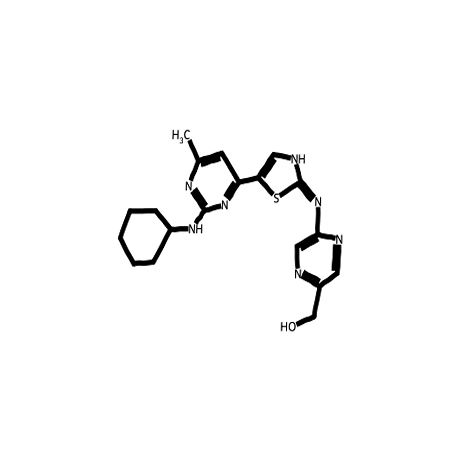 Cc1cc(-c2c[nH]/c(=N/c3cnc(CO)cn3)s2)nc(NC2CCCCC2)n1